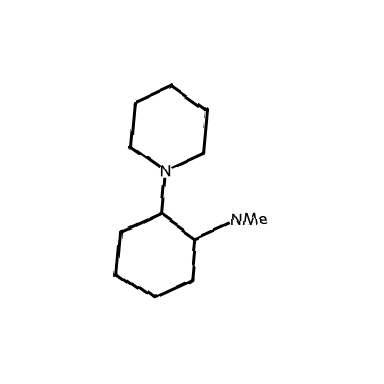 CNC1CCCCC1N1CCCCC1